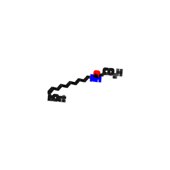 CCCCCCCC/C=C\CCCCCCCCNOCC(=O)O